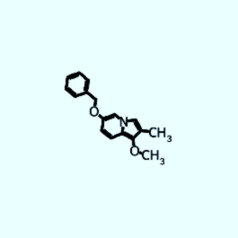 COc1c(C)cn2cc(OCc3ccccc3)ccc12